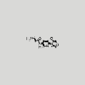 NCCC(=O)Nc1ccc(N2CCOCC2=O)nc1